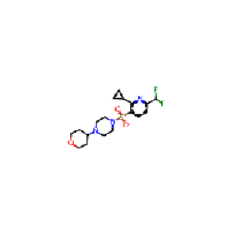 O=S(=O)(c1ccc(C(F)F)nc1C1CC1)N1CCN(C2CCOCC2)CC1